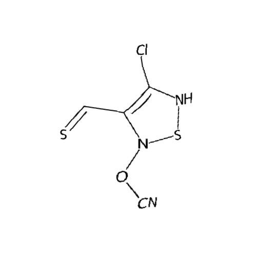 N#CON1SNC(Cl)=C1C=S